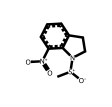 C[S+]([O-])N1CCc2cccc([N+](=O)[O-])c21